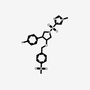 Cn1cnc(S(=O)(=O)N2CC(OCc3ccc(S(C)(=O)=O)cc3)C(c3ccc(F)cc3)C2)c1